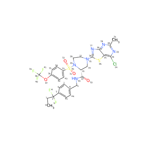 CCC(F)(F)c1ccc(CNC(=O)[C@H]2CN(c3nc4nc(C)nc(Cl)c4s3)CCN2S(=O)(=O)c2ccc(OC(F)(F)F)cc2)cc1